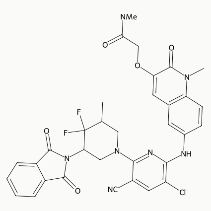 CNC(=O)COc1cc2cc(Nc3nc(N4CC(C)C(F)(F)C(N5C(=O)c6ccccc6C5=O)C4)c(C#N)cc3Cl)ccc2n(C)c1=O